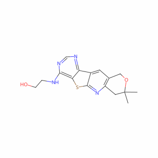 CC1(C)Cc2nc3sc4c(NCCO)ncnc4c3cc2CO1